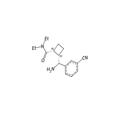 CCN(CC)C(=O)[C@@H]1CC[C@@H]1C(N)c1cccc(C#N)c1